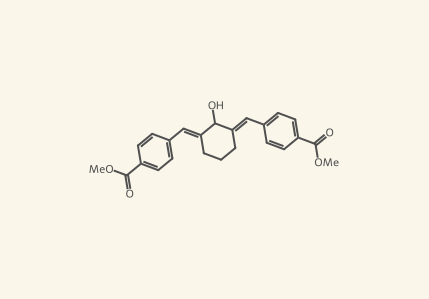 COC(=O)c1ccc(C=C2CCCC(=Cc3ccc(C(=O)OC)cc3)C2O)cc1